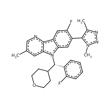 Cc1cnc2c3cc(F)c(-c4c(C)nnn4C)cc3n([C@H](c3ccccc3F)C3CCOCC3)c2c1